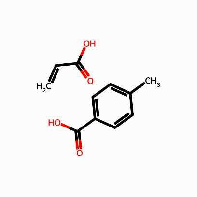 C=CC(=O)O.Cc1ccc(C(=O)O)cc1